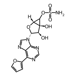 NS(=O)(=O)OC1[C@H]2O[C@@H](n3cnc4c(-c5ccco5)ncnc43)[C@H](O)[C@@]12O